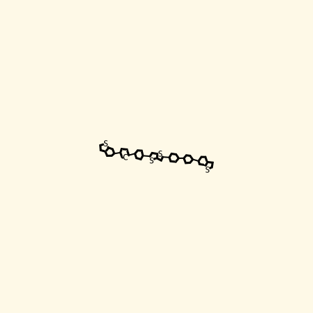 c1cc2ccc(-c3ccc(-c4ccc(-c5cc6sc(-c7ccc(-c8ccc(-c9ccc%10ccsc%10c9)cc8)cc7)cc6s5)cc4)cc3)cc2s1